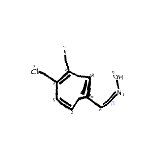 O/N=C\c1ccc(Cl)c(I)c1